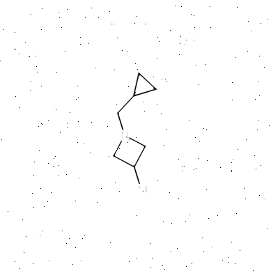 NC1CN(CC2CC2)C1